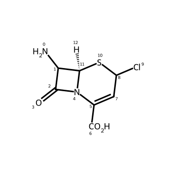 NC1C(=O)N2C(C(=O)O)=CC(Cl)S[C@H]12